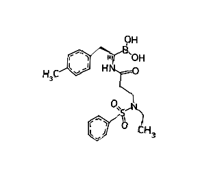 CCN(CCC(=O)N[C@@H](Cc1ccc(C)cc1)B(O)O)S(=O)(=O)c1ccccc1